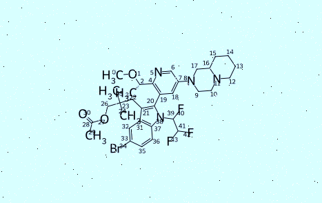 CO[C@@H](C)c1ncc(N2CCN3CCCCC3C2)cc1-c1c(CC(C)(C)COC(C)=O)c2cc(Br)ccc2n1C(F)C(F)F